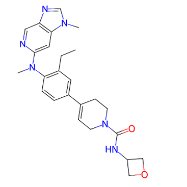 CCc1cc(C2=CCN(C(=O)NC3COC3)CC2)ccc1N(C)c1cc2c(cn1)ncn2C